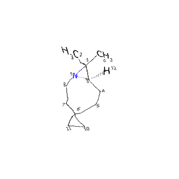 CC1(C)[C@H]2CCC3(CCN21)CC3